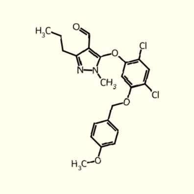 CCCc1nn(C)c(Oc2cc(OCc3ccc(OC)cc3)c(Cl)cc2Cl)c1C=O